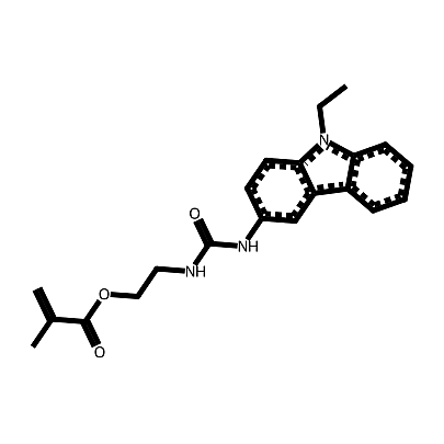 C=C(C)C(=O)OCCNC(=O)Nc1ccc2c(c1)c1ccccc1n2CC